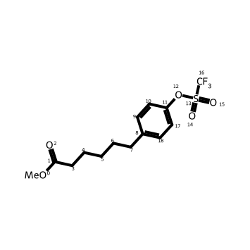 COC(=O)CCCCCc1ccc(OS(=O)(=O)C(F)(F)F)cc1